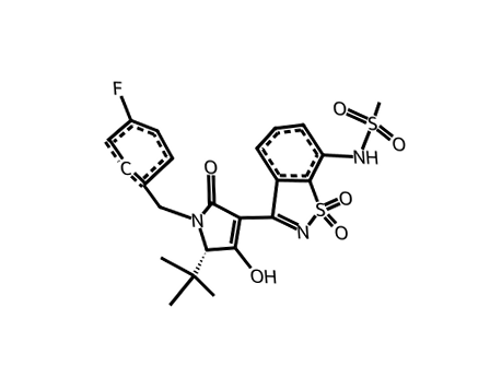 CC(C)(C)[C@H]1C(O)=C(C2=NS(=O)(=O)c3c(NS(C)(=O)=O)cccc32)C(=O)N1Cc1ccc(F)cc1